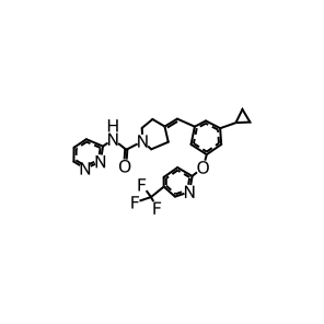 O=C(Nc1cccnn1)N1CCC(=Cc2cc(Oc3ccc(C(F)(F)F)cn3)cc(C3CC3)c2)CC1